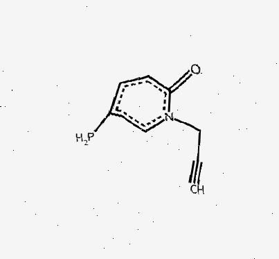 C#CCn1cc(P)ccc1=O